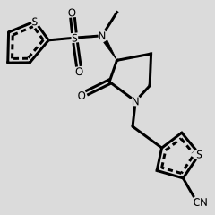 CN([C@H]1CCN(Cc2csc(C#N)c2)C1=O)S(=O)(=O)c1cccs1